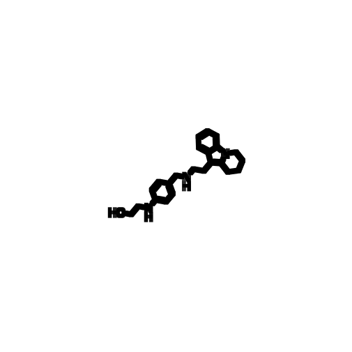 OCCNc1ccc(CNCCc2c3n(c4ccccc24)CCCC3)cc1